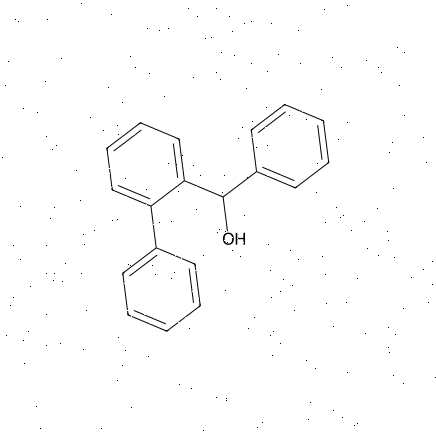 OC(c1ccccc1)c1ccccc1-c1ccccc1